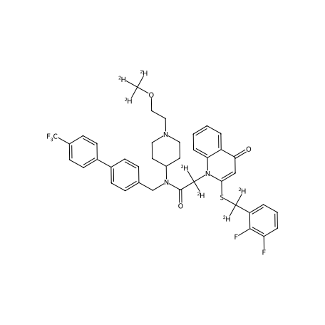 [2H]C([2H])([2H])OCCN1CCC(N(Cc2ccc(-c3ccc(C(F)(F)F)cc3)cc2)C(=O)C([2H])([2H])n2c(SC([2H])([2H])c3cccc(F)c3F)cc(=O)c3ccccc32)CC1